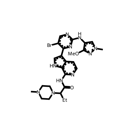 CCC(C(=O)Nc1nccc2c(-c3nc(Nc4cn(C)nc4OC)ncc3Br)c[nH]c12)N1CCN(C)CC1